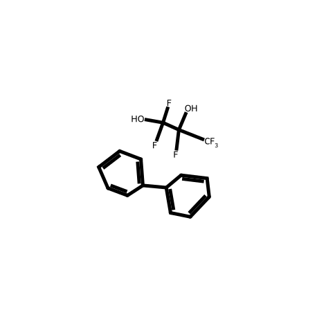 OC(F)(F)C(O)(F)C(F)(F)F.c1ccc(-c2ccccc2)cc1